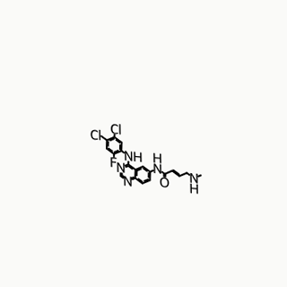 CNCC=CC(=O)Nc1ccc2ncnc(Nc3cc(Cl)c(Cl)cc3F)c2c1